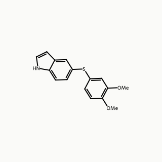 COc1ccc(Sc2ccc3[nH]ccc3c2)cc1OC